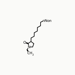 C=CN1CCC(CCCCCCCCCCCCCCCC)C1=O